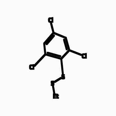 CCSSc1c(Cl)cc(Cl)cc1Cl